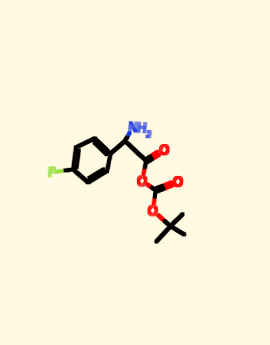 CC(C)(C)OC(=O)OC(=O)C(N)c1ccc(F)cc1